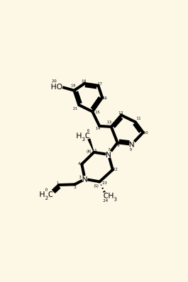 C=CCN1C[C@@H](C)N(c2ncccc2Cc2cccc(O)c2)C[C@@H]1C